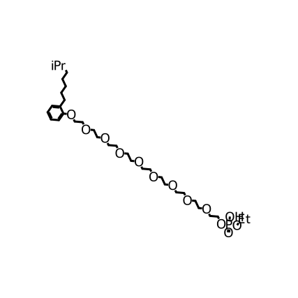 CCOP(=O)(O)OCCOCCOCCOCCOCCOCCOCCOCCOCCOc1ccccc1CCCCCC(C)C